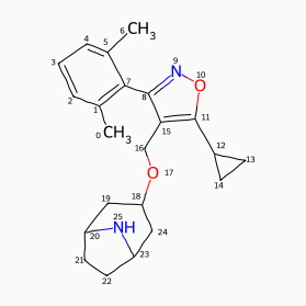 Cc1cccc(C)c1-c1noc(C2CC2)c1COC1CC2CCC(C1)N2